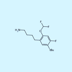 CC(C)(C)c1cc(CCCCN)c(OC(F)F)cc1F